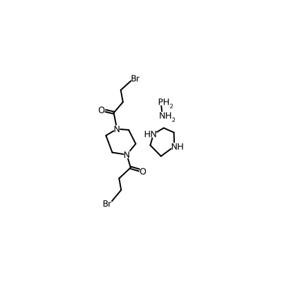 C1CNCCN1.NP.O=C(CCBr)N1CCN(C(=O)CCBr)CC1